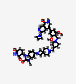 COc1cc(-c2cn(C)c(=O)c3cnc(N4CCC4)cc23)cc(OC)c1CN1CCC(CN2CCC3(CC2)CN(c2ccc4c(c2)n(C)c(=O)n4C2CCC(=O)NC2=O)C3)CC1